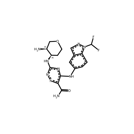 NC(=O)c1nnc(N[C@@H]2CCOC[C@@H]2N)nc1Nc1ccc2c(cnn2C(F)F)c1